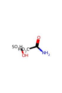 NC(=O)C(=O)O.O=S(=O)(O)O